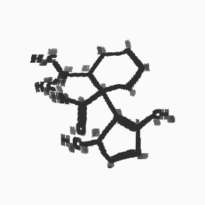 CC1=C(C2(C([NH])=O)CCCCC2[SiH](C)C)C(C)C=C1